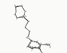 COc1ccc(OCCCN2CCCCC2)cc1N